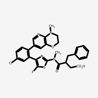 CN1CCOc2cc(-c3ccc(Cl)cc3-c3nc(N(C)C(=O)C(CC(=O)O)Cc4ccccc4)sc3F)cnc21